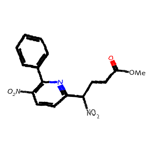 COC(=O)CCC(c1ccc([N+](=O)[O-])c(-c2ccccc2)n1)[N+](=O)[O-]